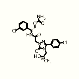 NC(=O)OC[C@H](NC(=O)Cn1nc(-c2ccc(Cl)cc2)n(C[C@H](O)C(F)(F)F)c1=O)c1cccc(Cl)c1